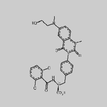 CN(CCO)c1ccc2c(c1)c(=O)n(-c1ccc(C[C@H](NC(=O)c3c(Cl)cccc3Cl)C(=O)O)cc1)c(=O)n2C